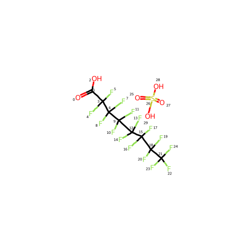 O=C(O)C(F)(F)C(F)(F)C(F)(F)C(F)(F)C(F)(F)C(F)(F)C(F)(F)F.O=S(=O)(O)O